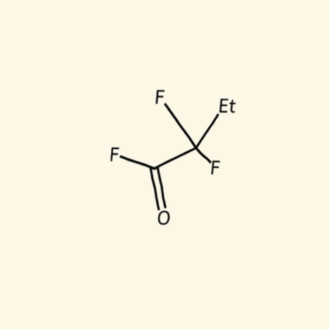 CCC(F)(F)C(=O)F